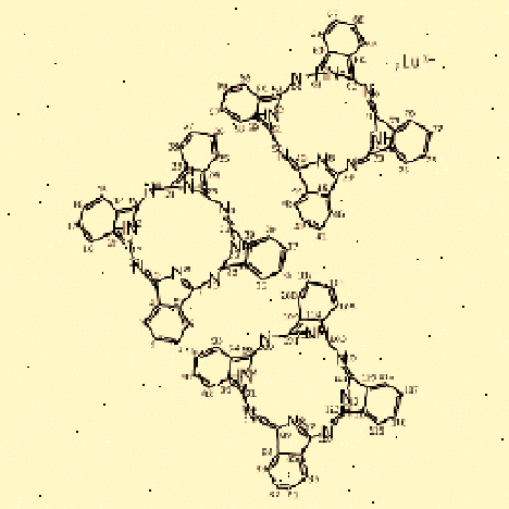 [Lu+3].c1ccc2c(c1)C1=NC2=Nc2[nH]c(c3ccccc23)[N-]c2[nH]c(c3ccccc23)/N=c2\[nH]c(c3ccccc23)=N1.c1ccc2c(c1)C1=NC2=Nc2[nH]c(c3ccccc23)[N-]c2[nH]c(c3ccccc23)/N=c2\[nH]c(c3ccccc23)=N1.c1ccc2c(c1)C1=NC2=Nc2[nH]c(c3ccccc23)[N-]c2[nH]c(c3ccccc23)/N=c2\[nH]c(c3ccccc23)=N1